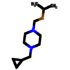 CC(C)SCN1CCN(CC2CC2)CC1